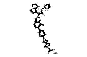 CC(C)(C)OC(=O)N1CC2(C1)CN(c1ccc(-c3ccc4cn(C(C(=O)Nc5nccs5)c5ncn6c5CCC6)nc4c3F)cn1)C2